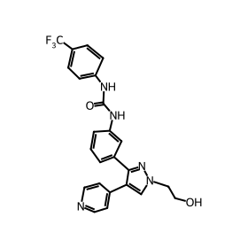 O=C(Nc1ccc(C(F)(F)F)cc1)Nc1cccc(-c2nn(CCO)cc2-c2ccncc2)c1